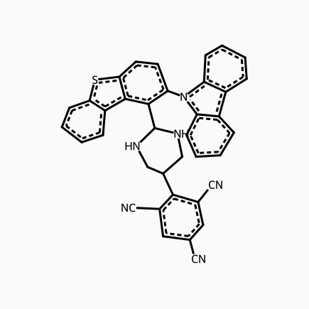 N#Cc1cc(C#N)c(C2CNC(c3c(-n4c5ccccc5c5ccccc54)ccc4sc5ccccc5c34)NC2)c(C#N)c1